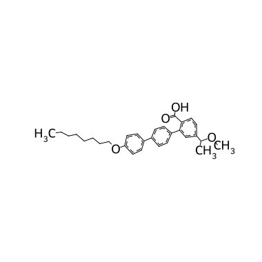 CCCCCCCCOc1ccc(-c2ccc(-c3cc(C(C)OC)ccc3C(=O)O)cc2)cc1